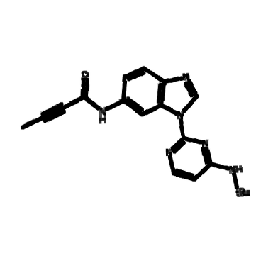 CC#CC(=O)Nc1ccc2ncn(-c3nccc(NC(C)(C)C)n3)c2c1